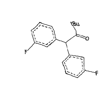 CC(C)(C)C(=O)C(c1cccc(F)c1)c1cccc(F)c1